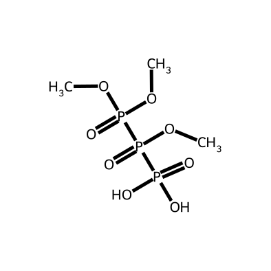 COP(=O)(OC)P(=O)(OC)P(=O)(O)O